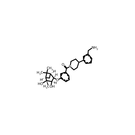 CC1(C)[C@@H]2C[C@H]1[C@@](C)(O)[C@H](O)[C@@H]2Oc1cccc(C(=O)N2CCC(c3cccc(CN)c3)CC2)c1